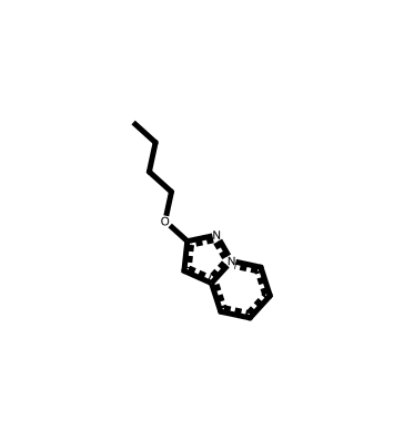 CCCCOc1cc2ccccn2n1